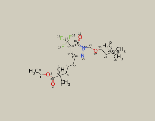 CCOC(=O)C(C)(C)CCCc1cc(C(F)(F)F)c(=O)n(COCC[Si](C)(C)C)n1